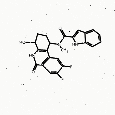 CN(C(=O)c1cc2ccccc2[nH]1)C1CCC(O)c2[nH]c(=O)c3cc(F)c(F)cc3c21